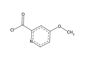 COc1ccnc(C(=O)Cl)c1